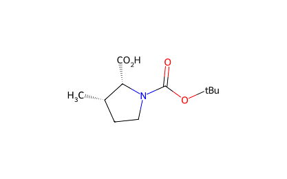 C[C@H]1CCN(C(=O)OC(C)(C)C)[C@H]1C(=O)O